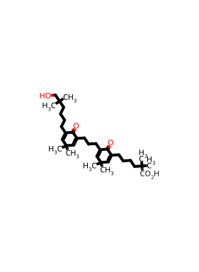 CC1(C)C=C(CCCCC(C)(C)CO)C(=O)C(CCCC2=CC(C)(C)C=C(CCCCC(C)(C)C(=O)O)C2=O)=C1